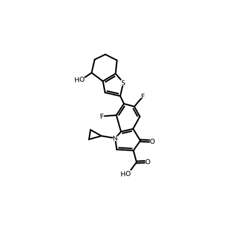 O=C(O)c1cn(C2CC2)c2c(F)c(-c3cc4c(s3)CCCC4O)c(F)cc2c1=O